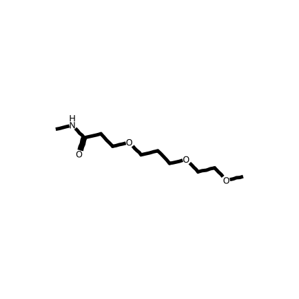 CNC(=O)CCOCCCOCCOC